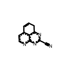 N#Cc1nc2c3c(ccnc3n1)C=CC2